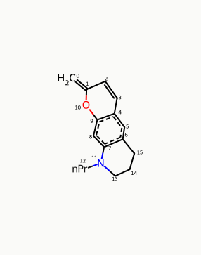 C=C1C=Cc2cc3c(cc2O1)N(CCC)CCC3